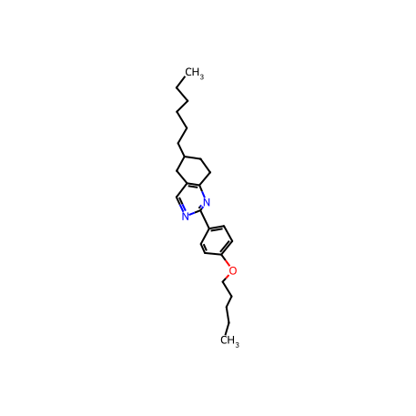 CCCCCCC1CCc2nc(-c3ccc(OCCCCC)cc3)ncc2C1